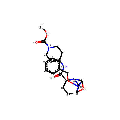 CC(C)(C)OC(=O)N1CCC(NC(=O)[C@@H]2CC[C@]34CN2C(O3)N4OCc2ccccc2)CC1